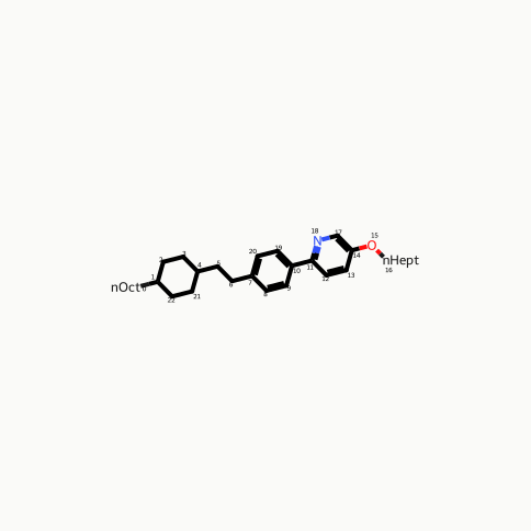 CCCCCCCCC1CCC(CCc2ccc(-c3ccc(OCCCCCCC)cn3)cc2)CC1